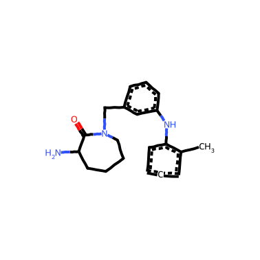 Cc1ccccc1Nc1cccc(CN2CCCCC(N)C2=O)c1